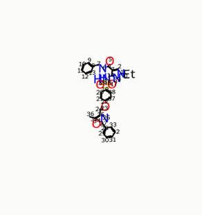 CCn1cc(C(=O)NCc2ccccc2)c(NS(=O)(=O)c2ccc(OCc3nc(-c4ccccc4)oc3C)cc2)n1